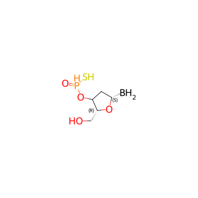 B[C@H]1CC(O[PH](=O)S)[C@@H](CO)O1